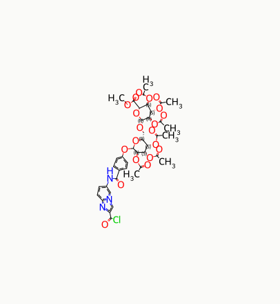 COC(=O)C1O[C@@H](OC[C@H]2OC(Oc3ccc(C(=O)Nc4ccc5nc(C(=O)Cl)cn5c4)cc3)[C@H](OC(C)=O)[C@@H](OC(C)=O)[C@H]2OC(C)=O)[C@H](OC(C)=O)[C@@H](OC(C)=O)[C@@H]1OC(C)=O